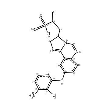 CC(CC1CN=C2c3cc(Oc4cccc(N)c4Cl)ccc3N=CN21)S(=O)(=O)Cl